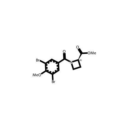 COC(=O)[C@H]1CCN1C(=O)c1cc(Br)c(OC)c(Br)c1